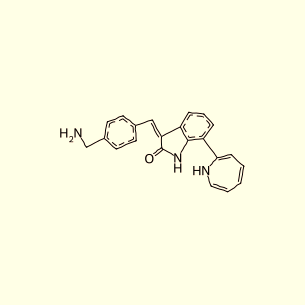 NCc1ccc(C=C2C(=O)Nc3c(C4=CC=CC=CN4)cccc32)cc1